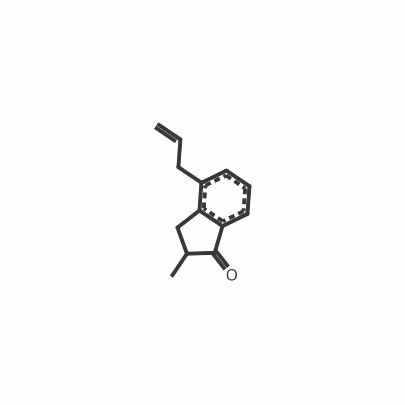 C=CCc1cccc2c1CC(C)C2=O